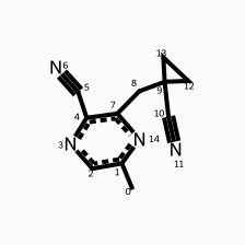 Cc1cnc(C#N)c(CC2(C#N)CC2)n1